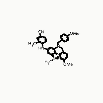 COc1ccc(CN(Cc2ccc(OC)cc2)c2cc(Nc3ccc(C#N)cc3C)cc3c2ncn3C)cc1